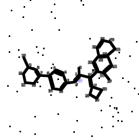 C/C(=C\c1c#cc(C2=CC(C)CCC2)cc1)C(=C1CCC1)c1cc2c(cc1C)CCC=C2